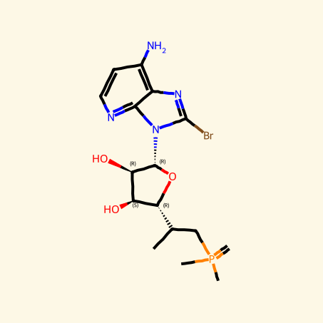 C=P(C)(C)CC(C)[C@H]1O[C@@H](n2c(Br)nc3c(N)ccnc32)[C@H](O)[C@@H]1O